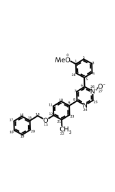 COc1cccc(-c2cc(-c3ccc(OCc4ccccc4)c(C)c3)nc[n+]2[O-])c1